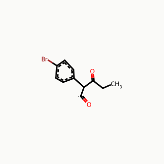 CCC(=O)C([C]=O)c1ccc(Br)cc1